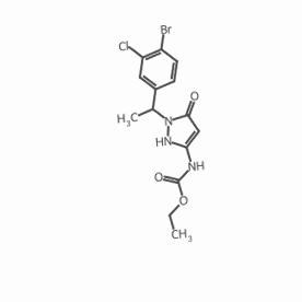 CCOC(=O)Nc1cc(=O)n(C(C)c2ccc(Br)c(Cl)c2)[nH]1